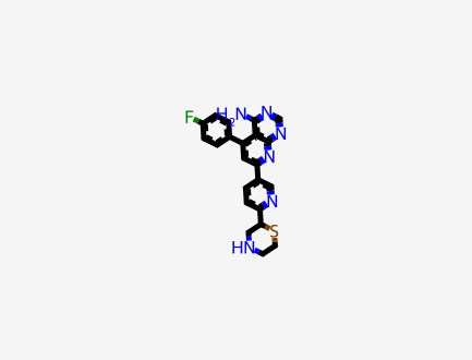 Nc1ncnc2nc(-c3ccc(C4CNCCS4)nc3)cc(-c3ccc(F)cc3)c12